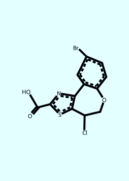 O=C(O)c1nc2c(s1)C(Cl)COc1ccc(Br)cc1-2